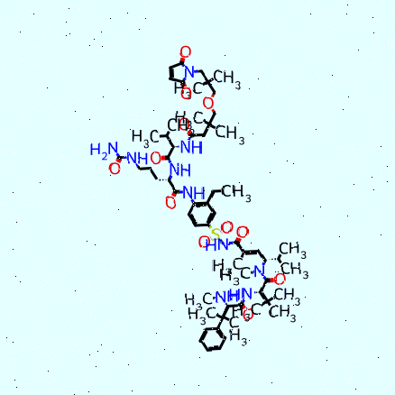 CCc1cc(S(=O)(=O)NC(=O)/C(C)=C/[C@H](C(C)C)N(C)C(=O)[C@@H](NC(=O)[C@@H](NC)C(C)(C)c2ccccc2)C(C)(C)C)ccc1NC(=O)[C@H](CCCNC(N)=O)NC(=O)[C@@H](NC(=O)CC(C)(C)COCC(C)(C)CN1C(=O)C=CC1=O)C(C)C